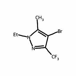 CCn1nc(C(F)(F)F)c(Br)c1C